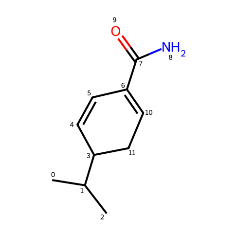 CC(C)C1C=CC(C(N)=O)=CC1